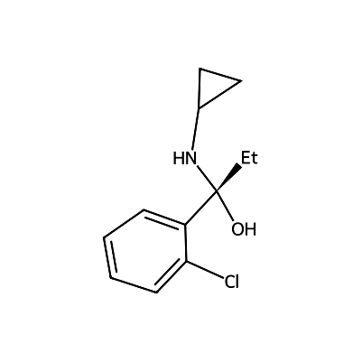 CC[C@](O)(NC1CC1)c1ccccc1Cl